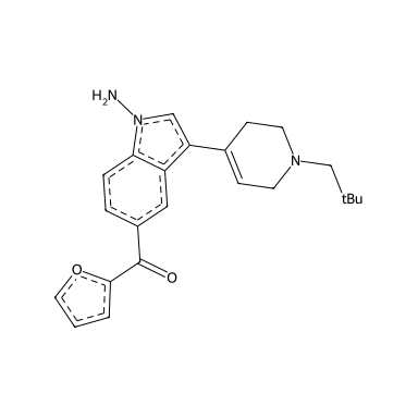 CC(C)(C)CN1CC=C(c2cn(N)c3ccc(C(=O)c4ccco4)cc23)CC1